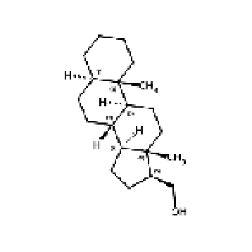 C[C@]12CCCC[C@@H]1CC[C@@H]1[C@@H]2CC[C@]2(C)[C@@H](CO)CC[C@@H]12